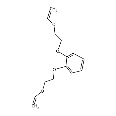 C=COCCOc1ccccc1OCCOC=C